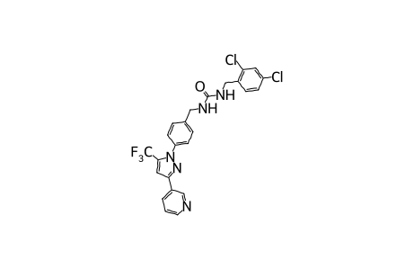 O=C(NCc1ccc(-n2nc(-c3cccnc3)cc2C(F)(F)F)cc1)NCc1ccc(Cl)cc1Cl